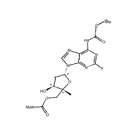 CNC(=O)OC[C@@]1(C)O[C@@H](n2cnc3c(NC(=O)OC(C)(C)C)nc(F)nc32)C[C@@H]1O